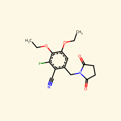 CCOc1cc(CN2C(=O)CCC2=O)c(C#N)c(F)c1OCC